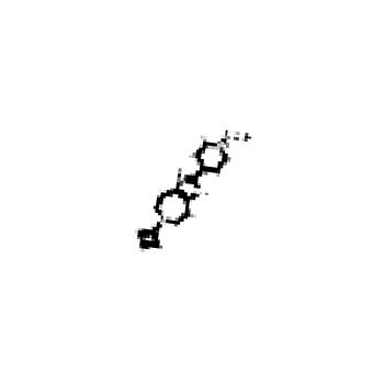 O=C(O)N1CCC(c2nc3c(s2)CCN(C2=CC=C2)CC3)CC1